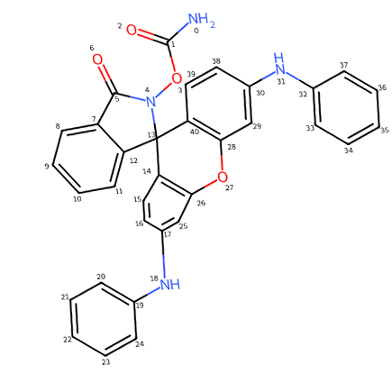 NC(=O)ON1C(=O)c2ccccc2C12c1ccc(Nc3ccccc3)cc1Oc1cc(Nc3ccccc3)ccc12